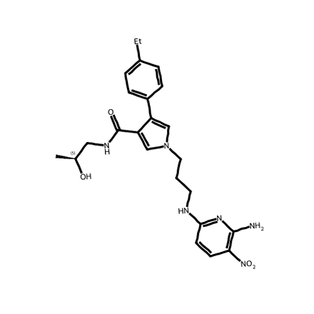 CCc1ccc(-c2cn(CCCNc3ccc([N+](=O)[O-])c(N)n3)cc2C(=O)NC[C@H](C)O)cc1